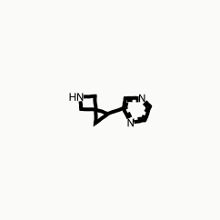 c1cnc(C2CC23CNC3)cn1